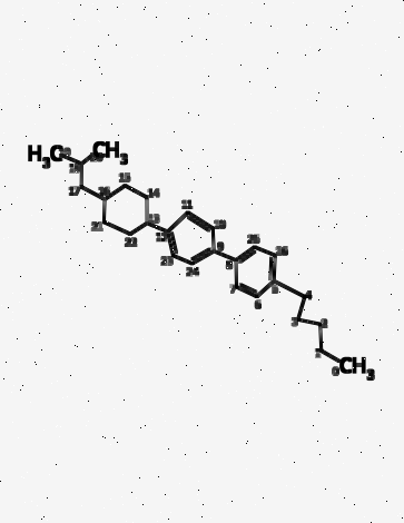 CCCCCc1ccc(-c2ccc(C3CCC(CC(C)C)CC3)cc2)cc1